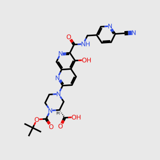 CC(C)(C)OC(=O)N1CCN(c2ccc3c(O)c(C(=O)NCc4ccc(C#N)nc4)ncc3n2)C[C@@H]1C(=O)O